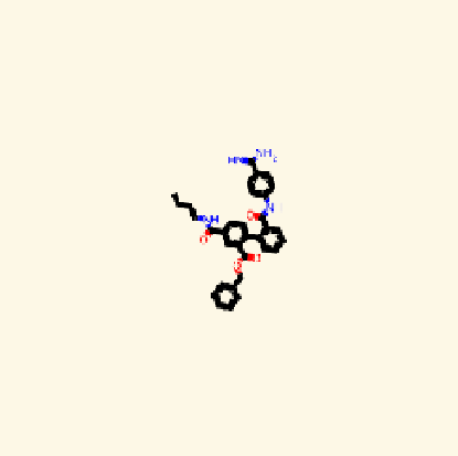 CCCCNC(=O)c1ccc(-c2ccccc2C(=O)Nc2ccc(C(=N)N)cc2)c(C(=O)OCc2ccccc2)c1